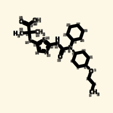 CCCO[C@H]1CC[C@H](N(C(=O)Nc2ncc(SC(C)(C)C(=O)O)s2)C2CCCCC2)CC1